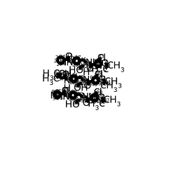 CC(C)Oc1ccc(C(=O)N[C@H](CCO)Cc2ccc(NC(=O)C3CCCCC3)cc2)cc1Cl.CC(C)Oc1ccc(C(=O)N[C@H](CCO)Cc2ccc(NC(=O)CC(C)(C)C)cc2)cc1Cl.CC(C)Oc1ccc(C(=O)N[C@H](CCO)Cc2ccc(NC(=O)c3ccncc3)cc2)cc1Cl